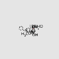 CCCC1(O)C(C)N(CC2CCCCC2)CCC1(CC(=O)NC=O)c1cc(O)ccc1C